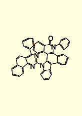 O=c1c2ccccc2c2c(c3ccccc3c3c4ccccc4n(-c4nc(-c5ccccc5)c5ccc6ccccc6c5n4)c32)n1-c1ccccc1